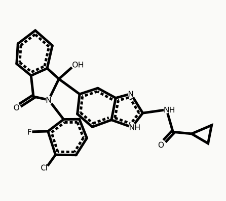 O=C(Nc1nc2cc(C3(O)c4ccccc4C(=O)N3c3cccc(Cl)c3F)ccc2[nH]1)C1CC1